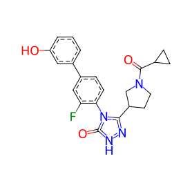 O=C(C1CC1)N1CCC(c2n[nH]c(=O)n2-c2ccc(-c3cccc(O)c3)cc2F)C1